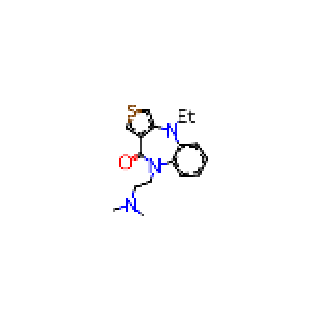 CCN1c2cscc2C(=O)N(CCN(C)C)c2ccccc21